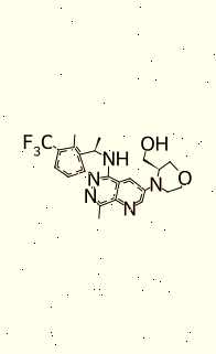 Cc1c([C@@H](C)Nc2nnc(C)c3ncc(N4CCOC[C@@H]4CO)cc23)cccc1C(F)(F)F